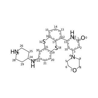 O=c1cc(N2CCOCC2)cc(-c2cccc3c2Sc2ccc(NC4CCNCC4)cc2S3)[nH]1